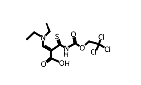 CCN(C=C(C(=O)O)C(=S)NC(=O)OCC(Cl)(Cl)Cl)CC